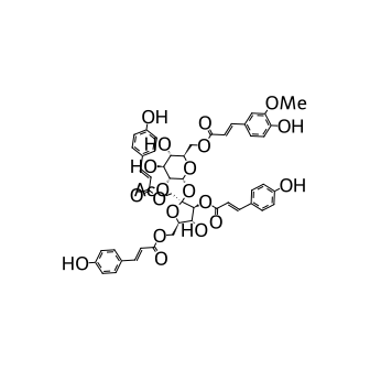 COc1cc(/C=C/C(=O)OC[C@H]2O[C@H](O[C@]3(COC(=O)/C=C/c4ccc(O)cc4)O[C@H](COC(=O)/C=C/c4ccc(O)cc4)[C@@H](O)[C@@H]3OC(=O)/C=C/c3ccc(O)cc3)[C@H](OC(C)=O)[C@@H](O)[C@@H]2O)ccc1O